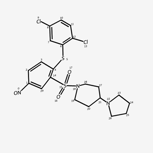 O=Nc1ccc(Sc2cc(Cl)ccc2Cl)c(S(=O)(=O)N2CCC(N3CCCC3)CC2)c1